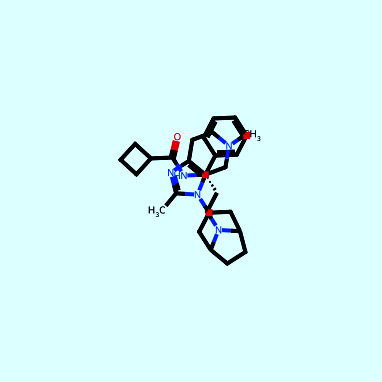 Cc1nc2c(n1C1CC3CCC(C1)N3CC[C@H](NC(=O)C1CCC1)c1ccccc1)CN(C)CC2